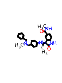 CNC(=O)c1ccc2c(c1)C(=C(C)Nc1ccc(CN(C)Cc3ccccc3)cc1)C(=O)N2